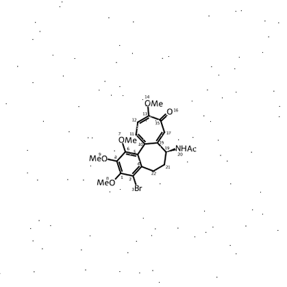 COc1c(Br)c2c(c(OC)c1OC)-c1ccc(OC)c(=O)cc1[C@@H](NC(C)=O)CC2